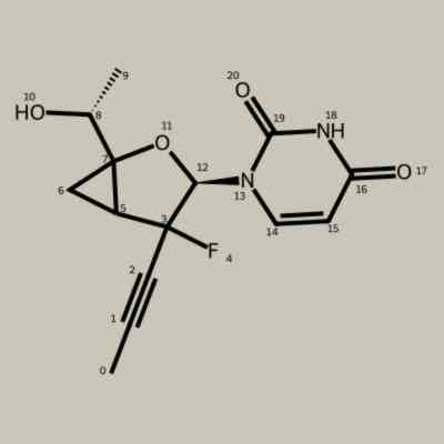 CC#CC1(F)C2CC2([C@@H](C)O)O[C@H]1n1ccc(=O)[nH]c1=O